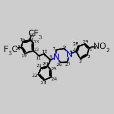 O=[N+]([O-])c1ccc(N2CCN(C([CH]Cc3cc(C(F)(F)F)cc(C(F)(F)F)c3)c3ccccc3)CC2)cc1